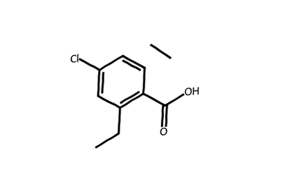 CC.CCc1cc(Cl)ccc1C(=O)O